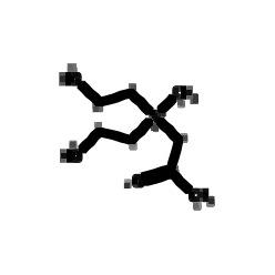 CC(=O)C[N+](C)(CCO)CCO